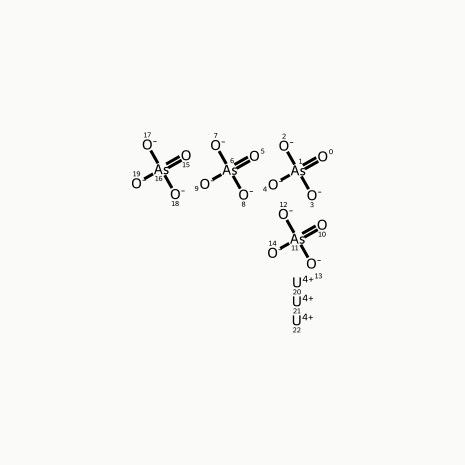 O=[As]([O-])([O-])[O-].O=[As]([O-])([O-])[O-].O=[As]([O-])([O-])[O-].O=[As]([O-])([O-])[O-].[U+4].[U+4].[U+4]